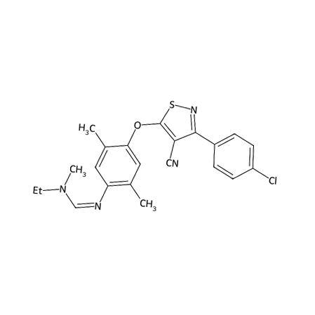 CCN(C)/C=N\c1cc(C)c(Oc2snc(-c3ccc(Cl)cc3)c2C#N)cc1C